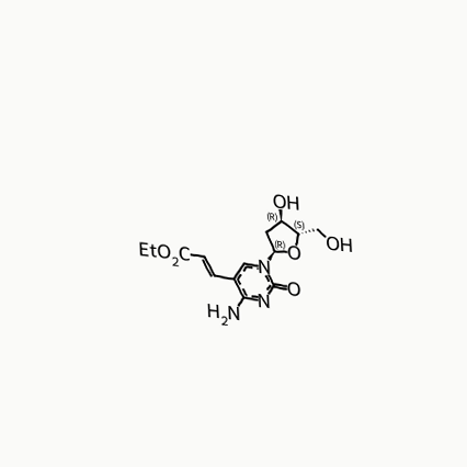 CCOC(=O)C=Cc1cn([C@H]2C[C@@H](O)[C@H](CO)O2)c(=O)nc1N